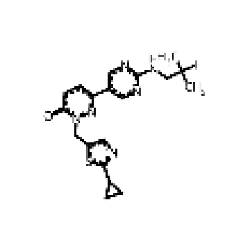 CC(C)(I)CNc1ncc(-c2ccc(=O)n(Cc3cnc(C4CC4)s3)n2)cn1